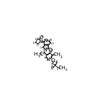 CCC(F)(F)COc1ncc(C(C)N2Cc3c(ccnc3N3CCCC3=O)C2=O)cc1C